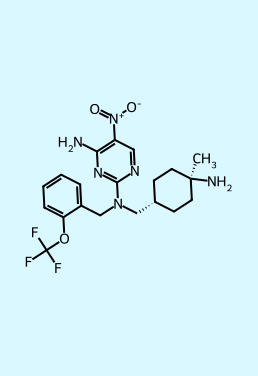 C[C@]1(N)CC[C@H](CN(Cc2ccccc2OC(F)(F)F)c2ncc([N+](=O)[O-])c(N)n2)CC1